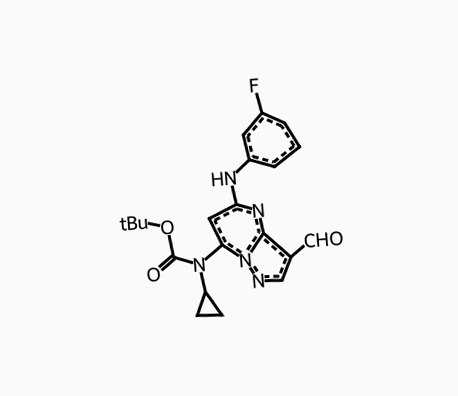 CC(C)(C)OC(=O)N(c1cc(Nc2cccc(F)c2)nc2c(C=O)cnn12)C1CC1